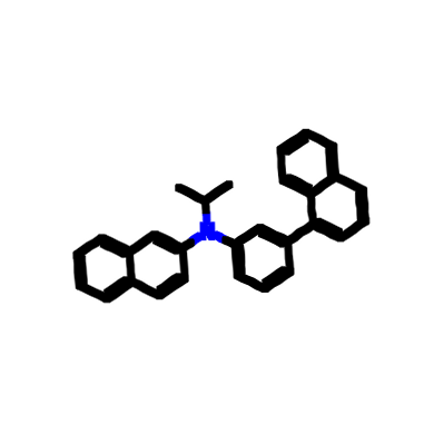 CC(C)N(c1cccc(-c2cccc3ccccc23)c1)c1ccc2ccccc2c1